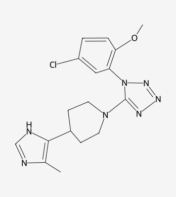 COc1ccc(Cl)cc1-n1nnnc1N1CCC(c2[nH]cnc2C)CC1